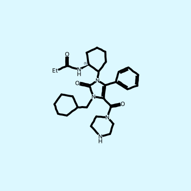 CCC(=O)N[C@H]1CCCCC1n1c(-c2ccccc2)c(C(=O)N2CCNCC2)n(CC2CCCCC2)c1=O